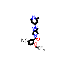 Cc1cc(-n2cc3c(n2)CN(C(=O)c2cc(C#N)ccc2OCC(F)(F)F)C3)ccn1